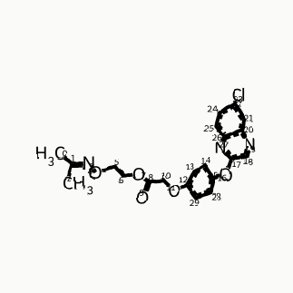 CC(C)=NOCCOC(=O)COc1ccc(Oc2cnc3cc(Cl)ccc3n2)cc1